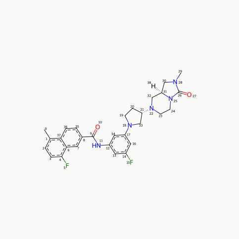 Cc1ccc(F)c2cc(C(=O)Nc3cc(F)cc(N4CC[C@H](N5CCN6C(=O)N(C)C[C@@H]6C5)C4)c3)ccc12